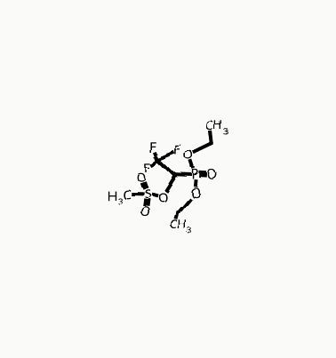 CCOP(=O)(OCC)C(OS(C)(=O)=O)C(F)(F)F